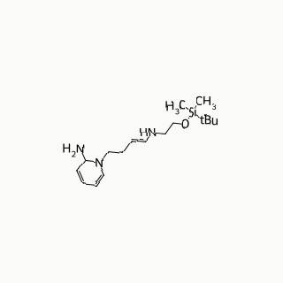 CC(C)(C)[Si](C)(C)OCCNC=CCCN1C=CC=CC1N